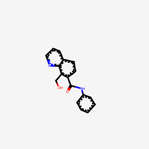 O=C(Nc1ccccc1)c1ccc2cccnc2c1CO